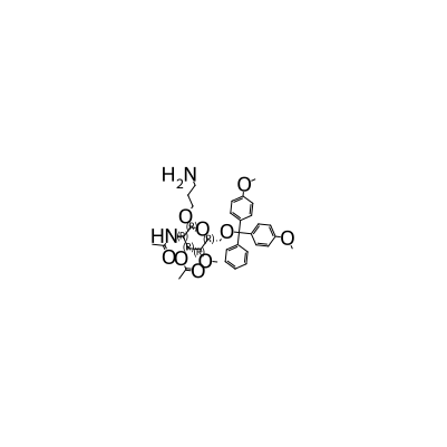 COc1ccc(C(OC[C@H]2O[C@@H](OCCCN)[C@H](NC(C)=O)[C@@H](OC(C)=O)[C@H]2OC)(c2ccccc2)c2ccc(OC)cc2)cc1